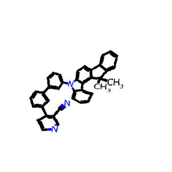 CC1(C)c2ccccc2-c2ccc3c(c21)c1ccccc1n3-c1cccc(-c2cccc(-c3ccncc3C#N)c2)c1